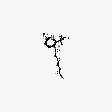 COCCOCOc1ccc(F)nc1C(F)(F)F